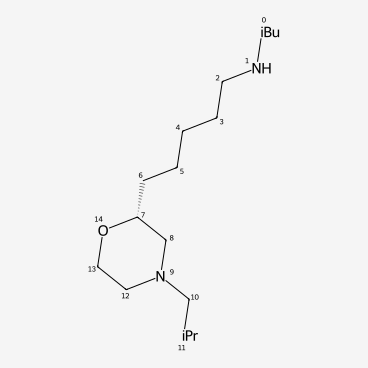 CCC(C)NCCCCC[C@@H]1CN(CC(C)C)CCO1